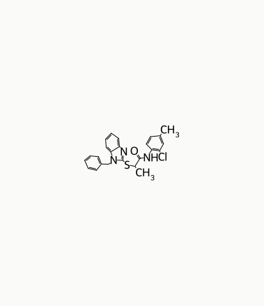 Cc1ccc(NC(=O)C(C)Sc2nc3ccccc3n2Cc2ccccc2)c(Cl)c1